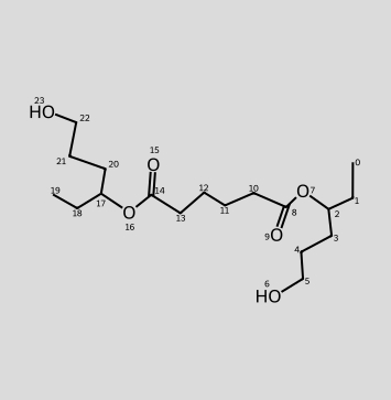 CCC(CCCO)OC(=O)CCCCC(=O)OC(CC)CCCO